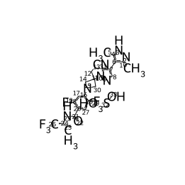 Cc1n[nH]c(C)c1-c1cnn(C2(CC#N)CN(c3cc(F)c(C(=O)N[C@@H](C)C(F)(F)F)cc3F)C2)c1.O=S(=O)(O)O